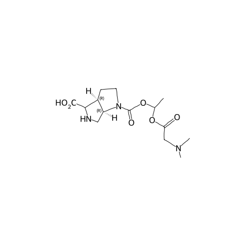 CC(OC(=O)CN(C)C)OC(=O)N1CC[C@@H]2C(C(=O)O)NC[C@@H]21